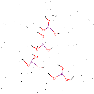 COP(OC)OC.COP(OC)OC.COP(OC)OC.COP(OC)OC.[Ru]